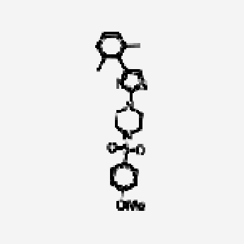 COc1ccc(S(=O)(=O)N2CCN(c3nc(-c4c(C)cccc4C)cs3)CC2)cc1